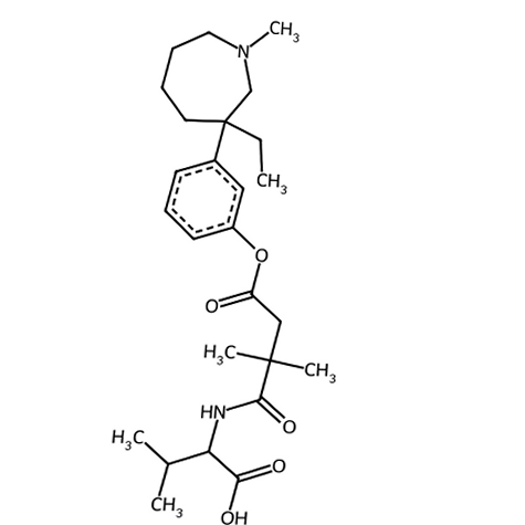 CCC1(c2cccc(OC(=O)CC(C)(C)C(=O)NC(C(=O)O)C(C)C)c2)CCCCN(C)C1